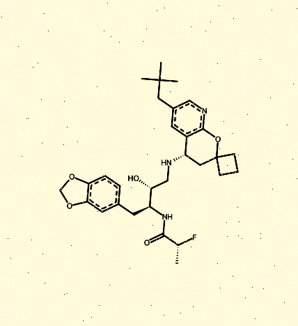 C[C@@H](F)C(=O)N[C@@H](Cc1ccc2c(c1)OCO2)[C@H](O)CN[C@H]1CC2(CCC2)Oc2ncc(CC(C)(C)C)cc21